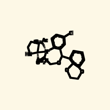 CC(=O)[C@H]1CCN[C@]1(C(=O)O)[N@+]1(CC(C)(C)C)C(=O)COC(c2cccc3c2OCCO3)c2cc(Cl)ccc21